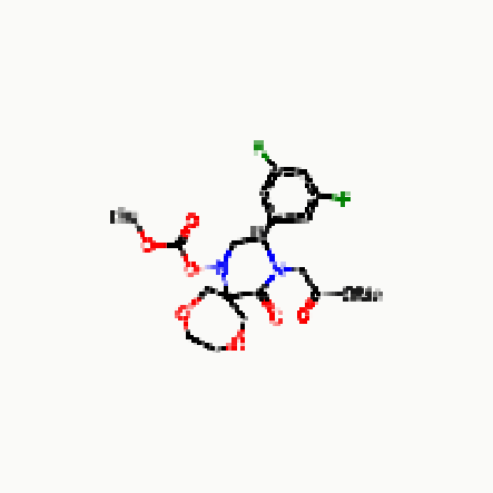 COC(=O)CN1C(=O)C2(COCCOC2)N(OC(=O)OC(C)(C)C)C[C@H]1c1cc(F)cc(F)c1